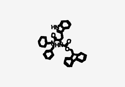 O=C(NC(Cc1c[nH]c2ccccc12)C(=O)N(Cc1ccccc1)C1CCCCC1)OCC1c2ccccc2-c2ccccc21